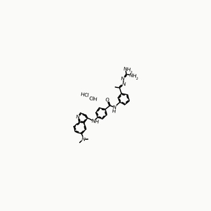 C/C(=N\N=C(N)N)c1cccc(NC(=O)c2ccc(Nc3ccnc4ccc(N(C)C)cc34)cc2)c1.Cl.Cl